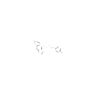 O=c1ccc2c(OCCCOc3ccc(F)cc3)c3ccoc3cc2o1